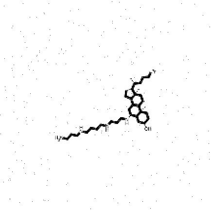 CC(C)CCC[C@@H](C)[C@H]1CCC2C3C[C@@H](NCCCNCCCCNCCCN)C4C[C@@H](O)CC[C@]4(C)C3CC[C@@]21C